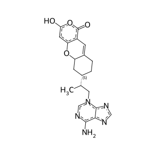 CC(Cn1cnc(N)c2ncnc1-2)[C@H]1CCC2=Cc3c(cc(O)oc3=O)OC2C1